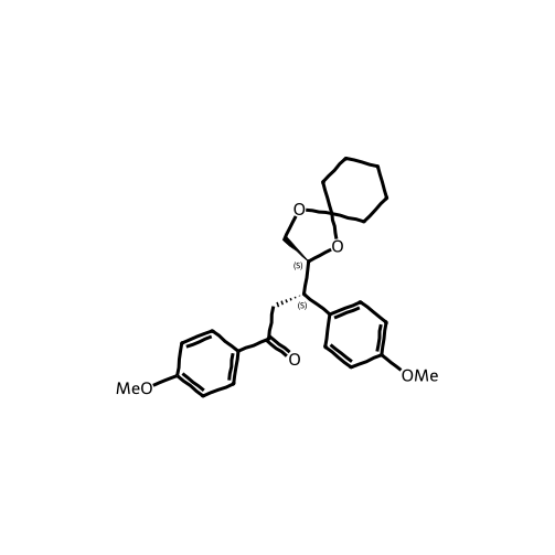 COc1ccc(C(=O)C[C@@H](c2ccc(OC)cc2)[C@H]2COC3(CCCCC3)O2)cc1